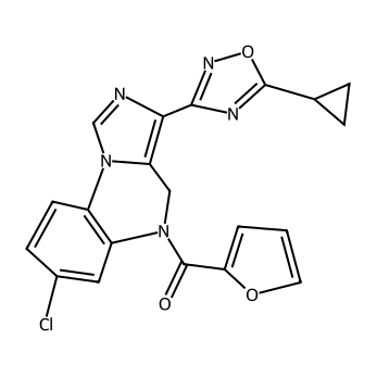 O=C(c1ccco1)N1Cc2c(-c3noc(C4CC4)n3)ncn2-c2ccc(Cl)cc21